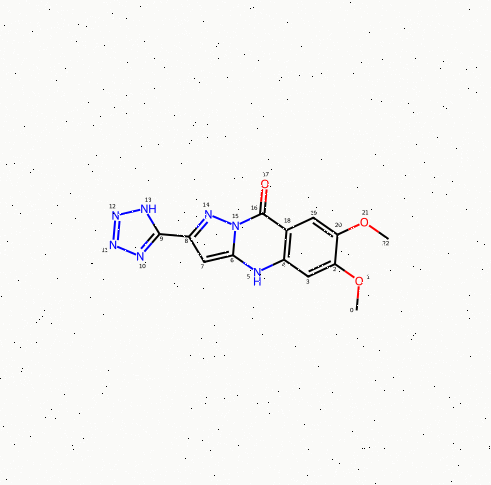 COc1cc2[nH]c3cc(-c4nnn[nH]4)nn3c(=O)c2cc1OC